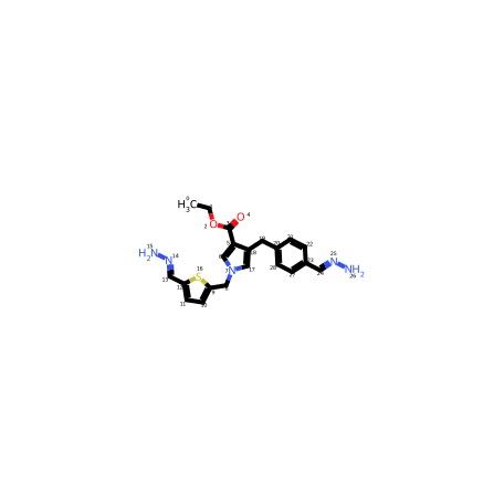 CCOC(=O)c1cn(Cc2ccc(C=NN)s2)cc1Cc1ccc(C=NN)cc1